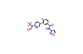 Cc1ccc(C(=O)Nc2ccon2)cc1-c1ccc(N(C=O)C(C)(C)C)nc1